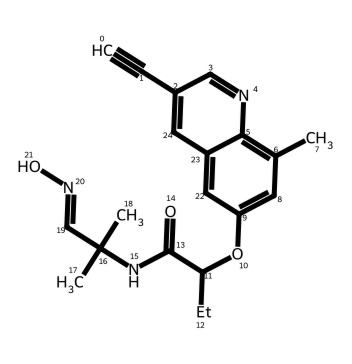 C#Cc1cnc2c(C)cc(OC(CC)C(=O)NC(C)(C)C=NO)cc2c1